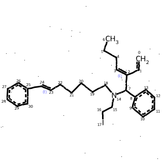 C=C/C(=C\CCC)C(c1ccccc1)N(CCI)CCCCC/C=C/c1ccccc1